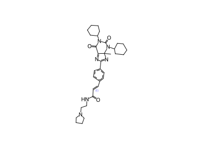 CC12N=C(c3ccc(/C=C/C(=O)NCCN4CCCC4)cc3)N=C1C(=O)N(C1CCCCC1)C(=O)N2C1CCCCC1